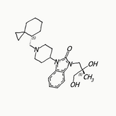 C[C@@](O)(CO)Cn1c(=O)n(C2CCN(C[C@H]3CCCCC34CC4)CC2)c2ccccc21